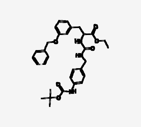 CCOC(=O)C(Cc1cccc(OCc2ccccc2)c1)NC(=O)NCc1ccc(NC(=O)OC(C)(C)C)cc1